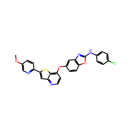 COc1ccc(-c2cc3nccc(Oc4ccc5oc(Nc6ccc(Cl)cc6)nc5c4)c3s2)nc1